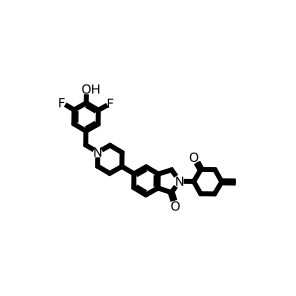 C=C1CCC(N2Cc3cc(C4CCN(Cc5cc(F)c(O)c(F)c5)CC4)ccc3C2=O)C(=O)C1